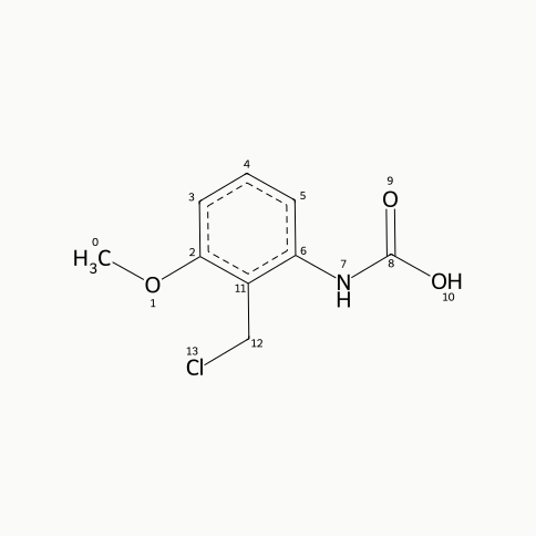 COc1cccc(NC(=O)O)c1CCl